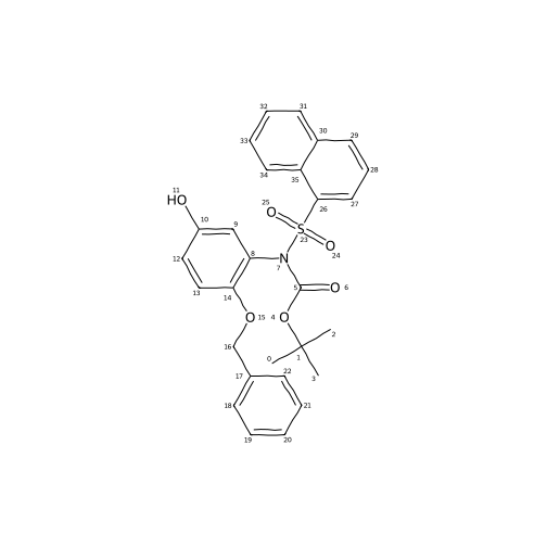 CC(C)(C)OC(=O)N(c1cc(O)ccc1OCc1ccccc1)S(=O)(=O)c1cccc2ccccc12